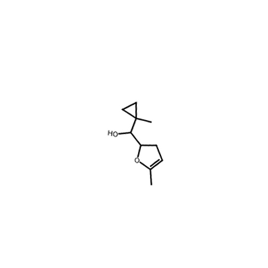 CC1=CCC(C(O)C2(C)CC2)O1